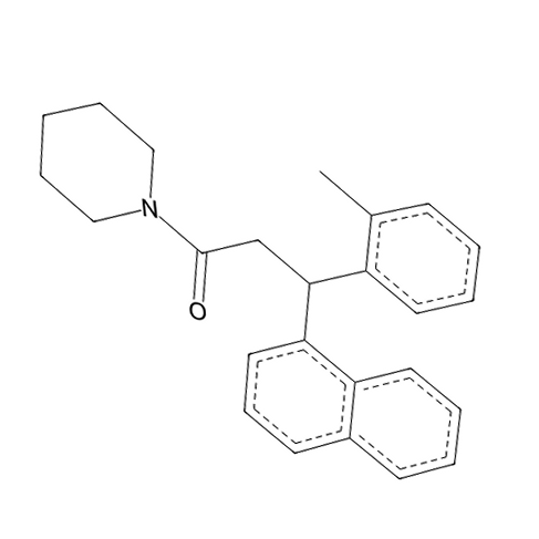 Cc1ccccc1C(CC(=O)N1CCCCC1)c1cccc2ccccc12